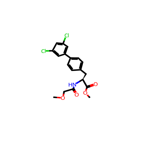 COCC(=O)N[C@@H](Cc1ccc(-c2cc(Cl)cc(Cl)c2)cc1)C(=O)OC